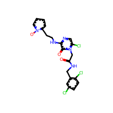 O=C(Cn1c(Cl)cnc(NCCc2cccc[n+]2[O-])c1=O)NCc1cc(Cl)ccc1Cl